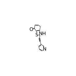 O=C1C=CCC2=C1SC(C#Cc1cccnc1)N2